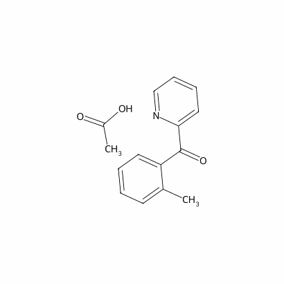 CC(=O)O.Cc1ccccc1C(=O)c1ccccn1